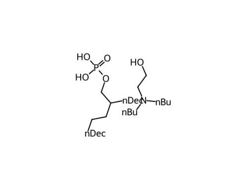 CCCCCCCCCCCCC(CCCCCCCCCC)COP(=O)(O)O.CCCCN(CCO)CCCC